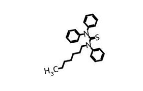 CCCCCCCN(C(=S)N(c1ccccc1)c1ccccc1)c1ccccc1